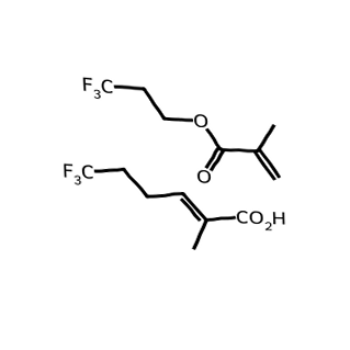 C=C(C)C(=O)OCCC(F)(F)F.CC(=CCCC(F)(F)F)C(=O)O